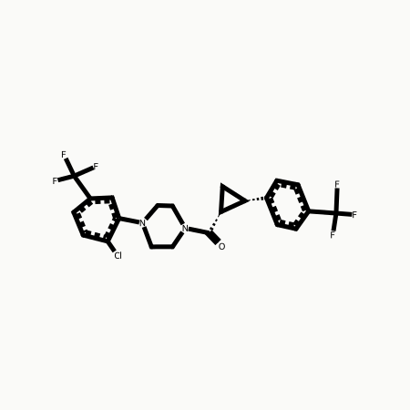 O=C([C@@H]1C[C@@H]1c1ccc(C(F)(F)F)cc1)N1CCN(c2cc(C(F)(F)F)ccc2Cl)CC1